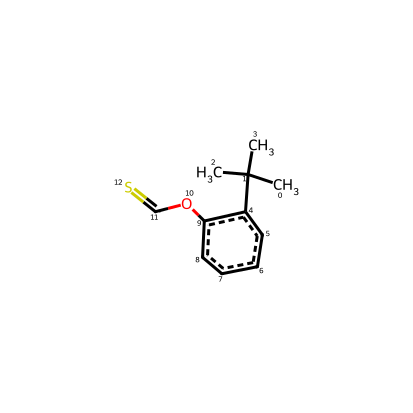 CC(C)(C)c1ccccc1O[C]=S